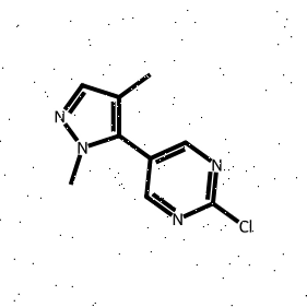 Cc1cnn(C)c1-c1cnc(Cl)nc1